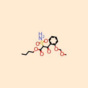 CCCCOC(=O)C(C(=O)c1ccccc1OCOC)S(N)(=O)=O